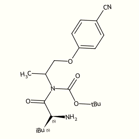 CC[C@H](C)[C@H](N)C(=O)N(C(=O)OC(C)(C)C)C(C)COc1ccc(C#N)cc1